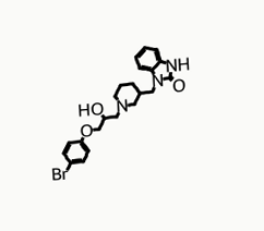 O=c1[nH]c2ccccc2n1CC1CCCN(CC(O)COc2ccc(Br)cc2)C1